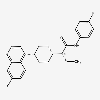 CC[C@@H](C(=O)Nc1ccc(F)cc1)[C@H]1CC[C@@H](c2ccnc3cc(F)ccc32)CC1